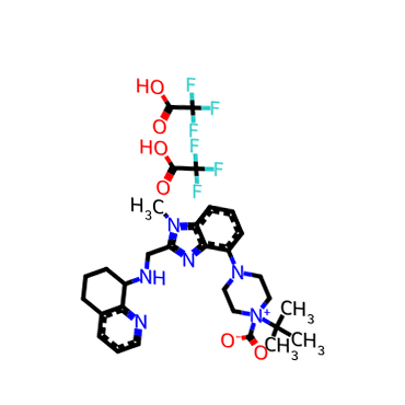 Cn1c(CNC2CCCc3cccnc32)nc2c(N3CC[N+](C(=O)[O-])(C(C)(C)C)CC3)cccc21.O=C(O)C(F)(F)F.O=C(O)C(F)(F)F